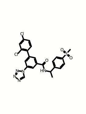 CC(NC(=O)c1cc(-c2ccc(Cl)cc2Cl)cc(-n2cnnn2)c1)c1ccc(S(C)(=O)=O)cc1